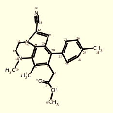 COC(=O)Cc1c(C)c2c3c(cc(C#N)n3CCN2C)c1-c1ccc(C)cc1